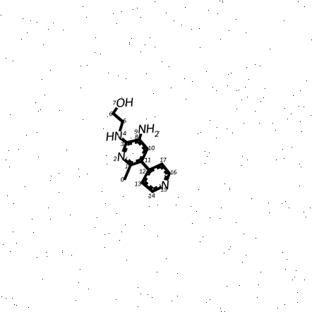 Cc1nc(NCCO)c(N)cc1-c1ccncc1